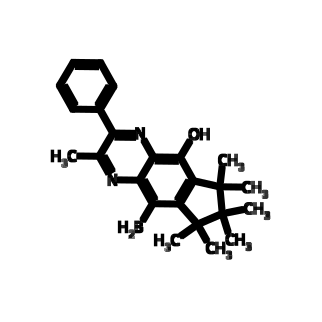 Bc1c2c(c(O)c3nc(-c4ccccc4)c(C)nc13)C(C)(C)C(C)(C)C2(C)C